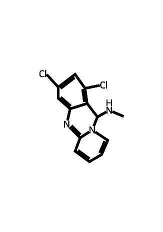 CNC1c2c(Cl)cc(Cl)cc2N=C2C=CC=CN21